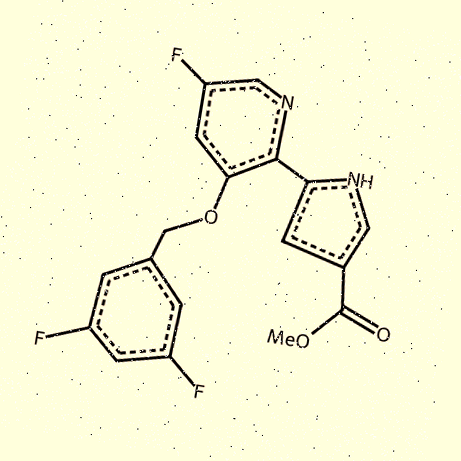 COC(=O)c1c[nH]c(-c2ncc(F)cc2OCc2cc(F)cc(F)c2)c1